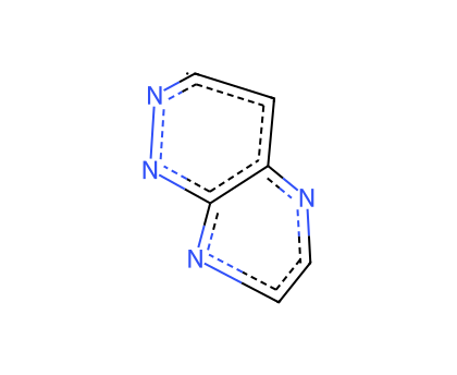 [c]1cc2nccnc2nn1